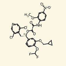 COc1cc([N+](=O)[O-])ccc1NC(=O)C(=O)O[C@@H](Cc1c(Cl)cncc1Cl)c1ccc(OC(F)F)c(OCC2CC2)c1